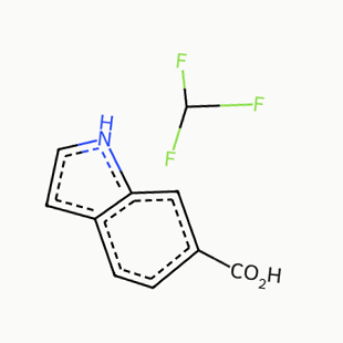 FC(F)F.O=C(O)c1ccc2cc[nH]c2c1